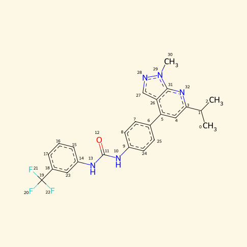 CC(C)c1cc(-c2ccc(NC(=O)Nc3cccc(C(F)(F)F)c3)cc2)c2cnn(C)c2n1